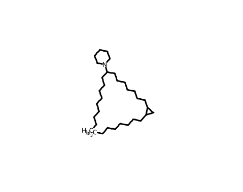 CCCCCCCCCC(CCCCCCCC1CC1CCCCCCCC)N1CCCCC1